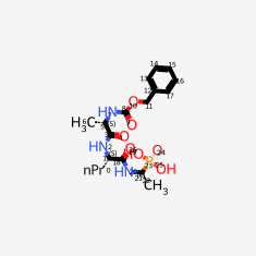 CCC[C@H](NC(=O)[C@H](C)NC(=O)OCc1ccccc1)C(=O)N[C@@H](C)P(=O)(O)O